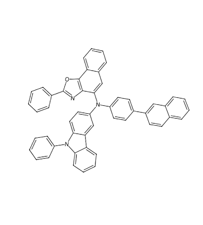 c1ccc(-c2nc3c(N(c4ccc(-c5ccc6ccccc6c5)cc4)c4ccc5c(c4)c4ccccc4n5-c4ccccc4)cc4ccccc4c3o2)cc1